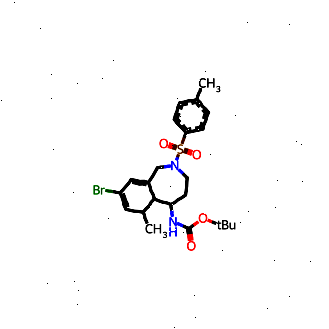 Cc1ccc(S(=O)(=O)N2CCC(NC(=O)OC(C)(C)C)C3C(=CC(Br)=CC3C)C2)cc1